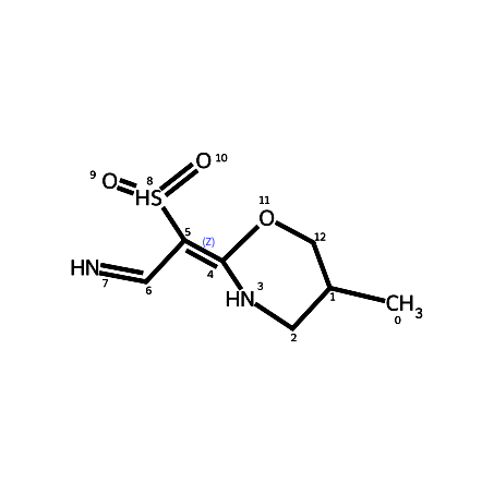 CC1CN/C(=C(\C=N)[SH](=O)=O)OC1